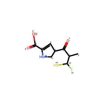 CC(C(=O)C1C=C(C(=O)O)NC1)C(F)S